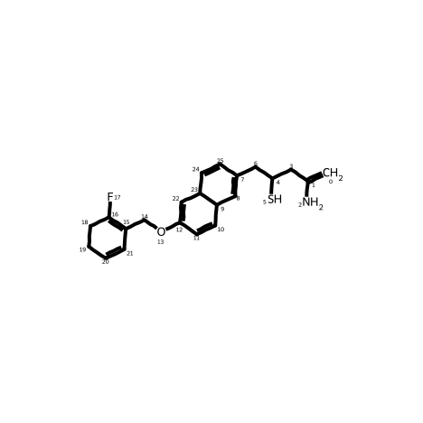 C=C(N)CC(S)CC1=CC2C=CC(OCC3=C(F)CCC=C3)=CC2C=C1